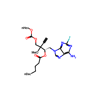 C#CC(COC(=O)OCCCCCC)(OC)[C@H](Cn1cnc2c(N)nc(F)nc21)OC(=O)CCCCCCCCCCCCC